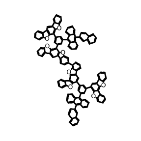 c1ccc2cc(-c3c4ccccc4c(-c4cc(-c5c6oc7ccccc7c6cc6c5oc5ccccc56)cc(-c5c6oc7ccccc7c6cc6c5oc5cc(-c7cccc8c7oc7c8cc(-c8cc(-c9c%10ccccc%10c(-c%10ccc%11ccccc%11c%10)c%10ccccc9%10)cc(-c9cc%10c%11ccccc%11oc%10c%10c9oc9ccccc9%10)c8)c8oc9ccccc9c87)ccc56)c4)c4ccccc34)ccc2c1